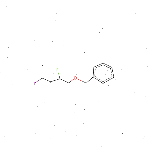 FC(CCI)COCc1ccccc1